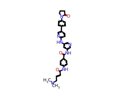 CN(C)CC=CC(=O)Nc1ccc(C(=O)Nc2cncc(Nc3ccc(-c4ccc(N5CCCC5=O)cc4)cn3)c2)cc1